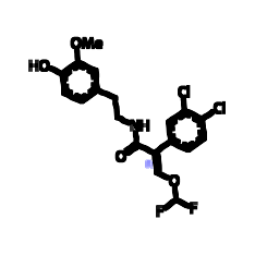 COc1cc(CCNC(=O)/C(=C/OC(F)F)c2ccc(Cl)c(Cl)c2)ccc1O